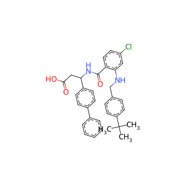 CC(C)(C)c1ccc(CNc2cc(Cl)ccc2C(=O)NC(CC(=O)O)c2ccc(-c3ccccc3)cc2)cc1